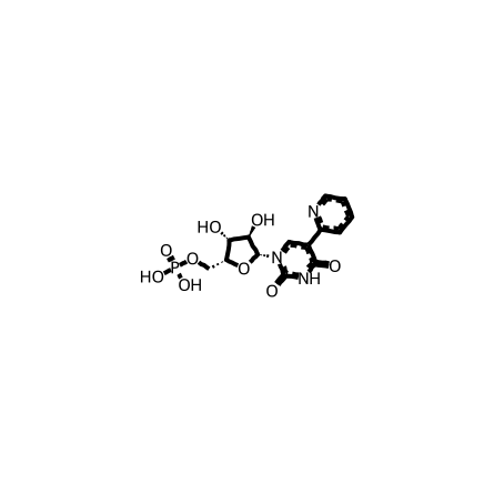 O=c1[nH]c(=O)n([C@@H]2O[C@H](COP(=O)(O)O)[C@H](O)[C@H]2O)cc1-c1ccccn1